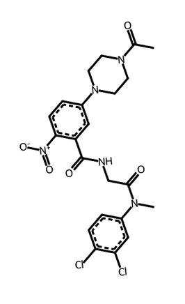 CC(=O)N1CCN(c2ccc([N+](=O)[O-])c(C(=O)NCC(=O)N(C)c3ccc(Cl)c(Cl)c3)c2)CC1